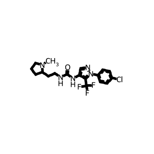 CN1CCCC1CCNC(=O)Nc1cnn(-c2ccc(Cl)cc2)c1C(F)(F)F